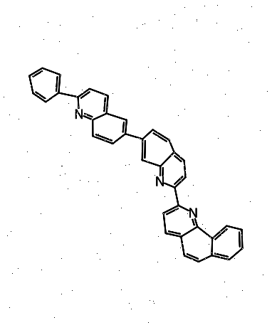 c1ccc(-c2ccc3cc(-c4ccc5ccc(-c6ccc7ccc8ccccc8c7n6)nc5c4)ccc3n2)cc1